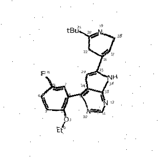 CCOc1ccc(F)cc1-c1ncnc2[nH]c(C3=CCN=C(C(C)(C)C)C3)cc12